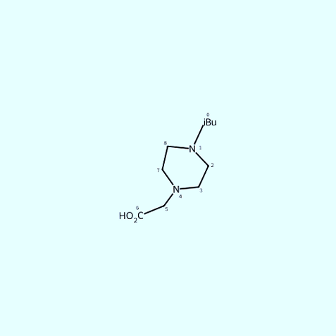 CCC(C)N1CCN(CC(=O)O)CC1